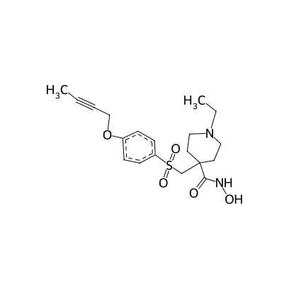 CC#CCOc1ccc(S(=O)(=O)CC2(C(=O)NO)CCN(CC)CC2)cc1